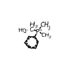 C[P+](C)(C)c1ccccc1.[OH-]